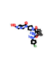 CC(C)(C)[C@@H](NC(=O)Nc1ccc(Cl)cc1)C(=O)N1CCC(N2CN3CN(CO)C=C3C2=O)CC1